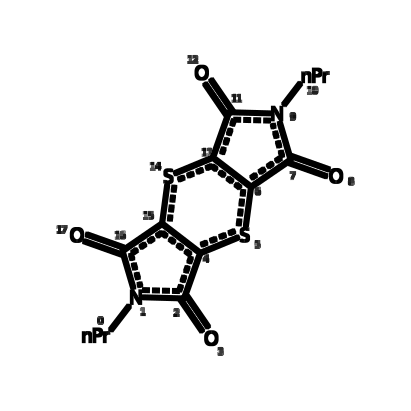 CCCn1c(=O)c2sc3c(=O)n(CCC)c(=O)c3sc2c1=O